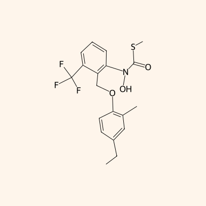 CCc1ccc(OCc2c(N(O)C(=O)SC)cccc2C(F)(F)F)c(C)c1